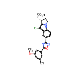 N#Cc1cc(OC(F)(F)F)cc(-c2nc(-c3ccc4c(c3)c(Cl)c3n4CC[C@H]3CC(=O)O)no2)c1